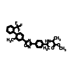 COC(=O)C(C)NC(C)c1ccc(-c2noc(-c3ccc(-c4ccccc4C(F)(F)F)c(C)c3)n2)cc1